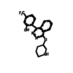 Oc1cc(C(F)(F)F)ccc1-c1nnc(OC2CCCNC2)c2ccccc12